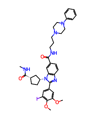 CNC(=O)[C@H]1CC[C@@H](n2c(-c3cc(I)c(OC)c(OC)c3)nc3ccc(C(=O)NCCCN4CCN(c5ccccc5)CC4)cc32)C1